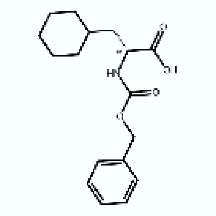 O=C(N[C@H](CC1CCCCC1)C(=O)O)OCc1ccccc1